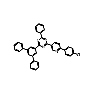 Clc1ccc(-c2ccc(-c3nc(-c4ccccc4)nc(-c4cc(-c5ccccc5)cc(-c5ccccc5)c4)n3)cn2)cc1